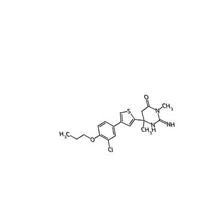 CCCOc1ccc(-c2csc(C3(C)CC(=O)N(C)C(=N)N3)c2)cc1Cl